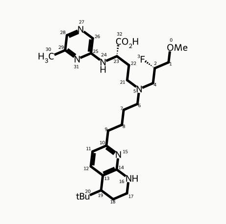 COC[C@@H](F)CN(CCCCc1ccc2c(n1)NCCC2C(C)(C)C)CC[C@H](Nc1cncc(C)n1)C(=O)O